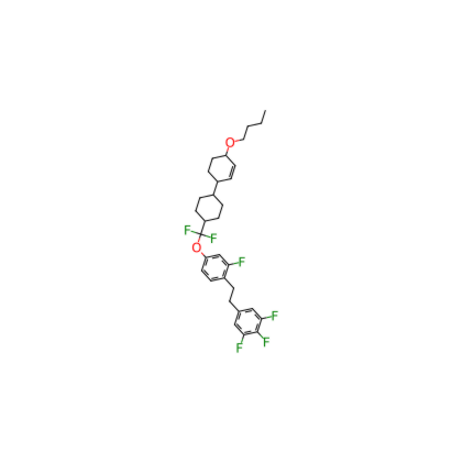 CCCCOC1C=CC(C2CCC(C(F)(F)Oc3ccc(CCc4cc(F)c(F)c(F)c4)c(F)c3)CC2)CC1